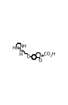 O=C(O)CN1CCc2cc(OCCCNC3NC=CCN3)ccc2C1=O